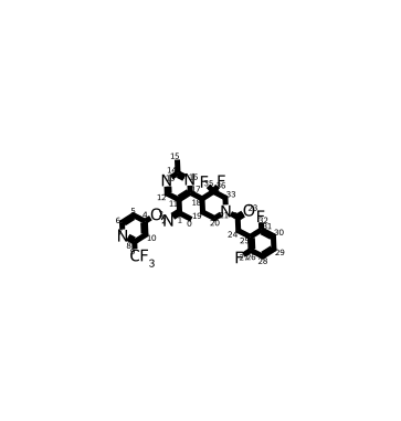 CC(=NOc1ccnc(C(F)(F)F)c1)c1cnc(C)nc1C1CCN(C(=O)Cc2c(F)cccc2F)CC1(F)F